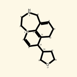 C1=CN2CCNCC3=CCCC(=C32)C1C1CCOC1